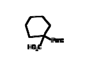 CCCC(C)C1(C(=O)O)CCCCC1